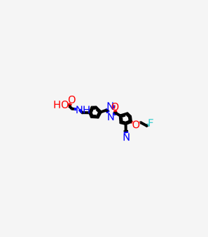 N#Cc1cc(-c2nc(-c3ccc(CNCC(=O)O)cc3)no2)ccc1OCCF